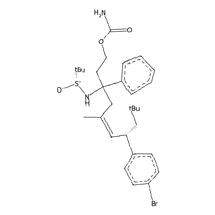 CC(=C[C@H](CC(C)(C)C)c1ccc(Br)cc1)CC(CCOC(N)=O)(N[S@+]([O-])C(C)(C)C)c1ccccc1